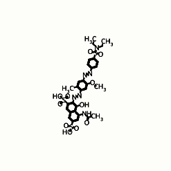 CCN(CC)S(=O)(=O)c1ccc(N=Nc2cc(C)c(N=Nc3c(S(=O)(=O)O)cc4cc(S(=O)(=O)O)cc(NC(C)=O)c4c3O)cc2OC)cc1